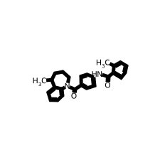 Cc1ccccc1C(=O)Nc1ccc(C(=O)N2CCCC(C)c3ccccc32)cc1